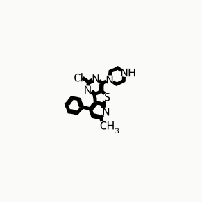 Cc1cc(-c2ccccc2)c2c(n1)sc1c(N3CCNCC3)nc(Cl)nc12